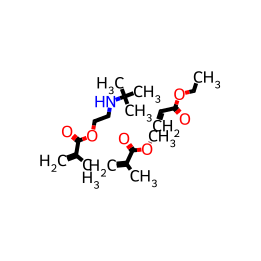 C=C(C)C(=O)OC.C=C(C)C(=O)OCCNC(C)(C)C.C=CC(=O)OCC